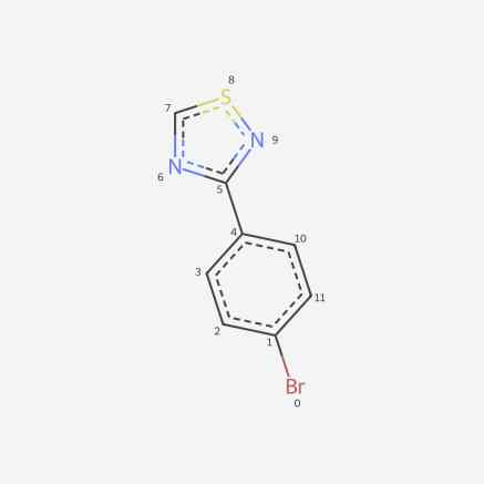 Brc1ccc(-c2ncsn2)cc1